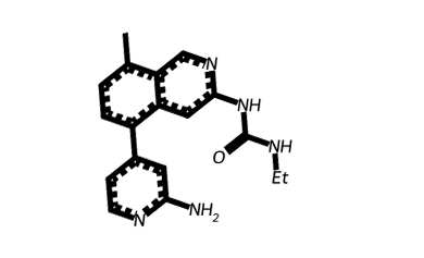 CCNC(=O)Nc1cc2c(-c3ccnc(N)c3)ccc(C)c2cn1